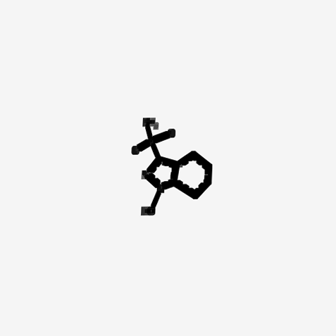 NS(=O)(=O)c1nn(O)c2ccccc12